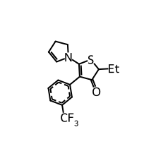 CCC1SC(N2C=CCC2)=C(c2cccc(C(F)(F)F)c2)C1=O